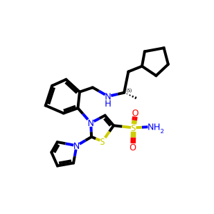 C[C@@H](CC1CCCC1)NCc1ccccc1N1C=C(S(N)(=O)=O)SC1n1cccc1